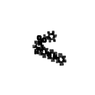 O=C(OCc1ccccc1)N1CC[C@H]2CC1c1cc(N3CCN(C4CCCCC4)CC3)ccc12